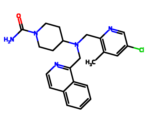 Cc1cc(Cl)cnc1CN(Cc1nccc2ccccc12)C1CCN(C(N)=O)CC1